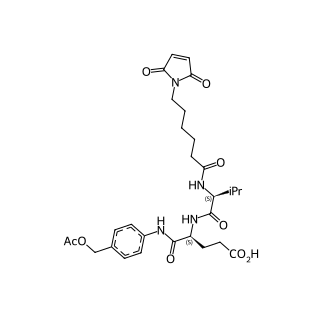 CC(=O)OCc1ccc(NC(=O)[C@H](CCC(=O)O)NC(=O)[C@@H](NC(=O)CCCCCN2C(=O)C=CC2=O)C(C)C)cc1